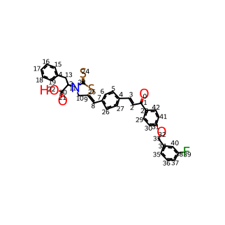 O=C(/C=C/c1ccc(C=C2CN(C(Cc3ccccc3)C(=O)O)C(=S)S2)cc1)c1ccc(OCc2cccc(F)c2)cc1